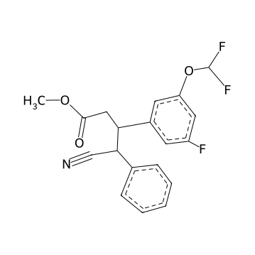 COC(=O)CC(c1cc(F)cc(OC(F)F)c1)C(C#N)c1ccccc1